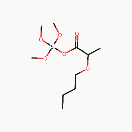 CCCCOC(C)C(=O)O[Si](OC)(OC)OC